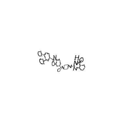 O=C(c1ccc2nc(-c3ccc(Cl)c(Cl)c3)oc2c1)N1CCN(c2nc3ccccc3c(=O)[nH]2)CC1